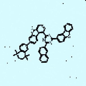 CC1(C)CCC(C)(C)c2cc(-c3ccc4c(c3)oc3cccc(-c5nc(-c6ccc7ccccc7c6)nc(-c6ccc7sc8ccccc8c7c6)n5)c34)ccc21